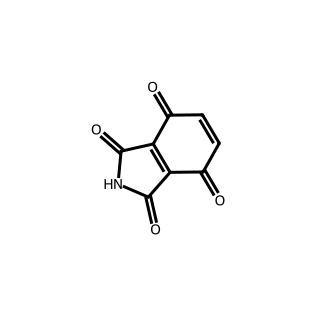 O=c1ccc(=O)c2c(=O)[nH]c(=O)c1=2